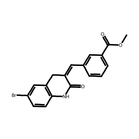 COC(=O)c1cccc(C=C2Cc3cc(Br)ccc3NC2=O)c1